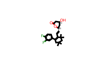 CC1(C)CC(c2ccc(F)c(F)c2)=C(C=C[C@H]2C[C@H](O)CC(=O)O2)C(C)(C)C1